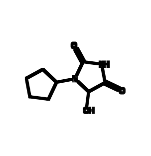 O=C1NC(=O)N(C2CCCC2)C1O